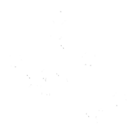 CC(C)(C)OC(=O)NC(Cc1ccccc1)C(=O)NC(CCCCCCNC(=O)OCc1ccccc1)N(CCCNC(=O)OCc1ccccc1)C(=O)OCc1ccccc1